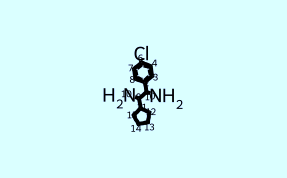 NC(c1ccc(Cl)cc1)C(N)C1CCCC1